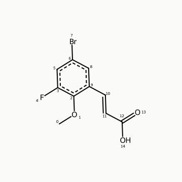 COc1c(F)cc(Br)cc1C=CC(=O)O